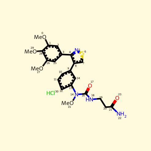 COc1cc(-c2nscc2-c2cccc(N(OC)C(=O)NCCC(N)=O)c2)cc(OC)c1OC.Cl